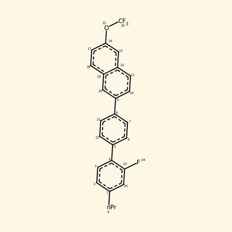 CCCc1ccc(-c2ccc(-c3ccc4cc(OC(F)(F)F)ccc4c3)cc2)c(F)c1